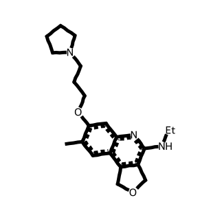 CCNc1nc2cc(OCCCN3CCCC3)c(C)cc2c2c1COC2